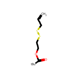 C=CCSSCCOC(=O)C(C)(C)C